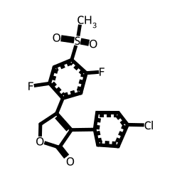 CS(=O)(=O)c1cc(F)c(C2=C(c3ccc(Cl)cc3)C(=O)OC2)cc1F